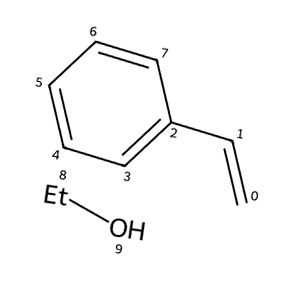 C=Cc1ccccc1.CCO